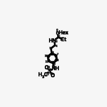 CCCCCCC(CC)NCCc1ccc(NS(C)(=O)=O)cc1